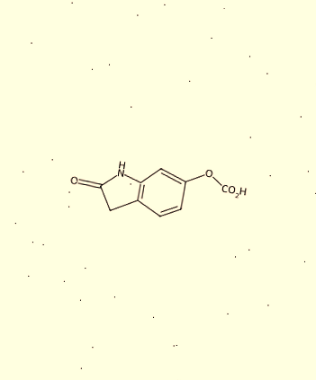 O=C1Cc2ccc(OC(=O)O)cc2N1